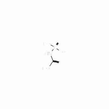 O=P(O)(O)NC(O)=S